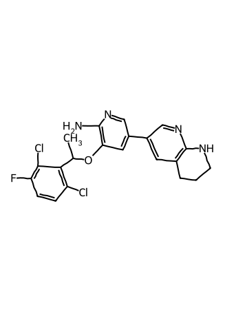 CC(Oc1cc(-c2cnc3c(c2)CCCN3)cnc1N)c1c(Cl)ccc(F)c1Cl